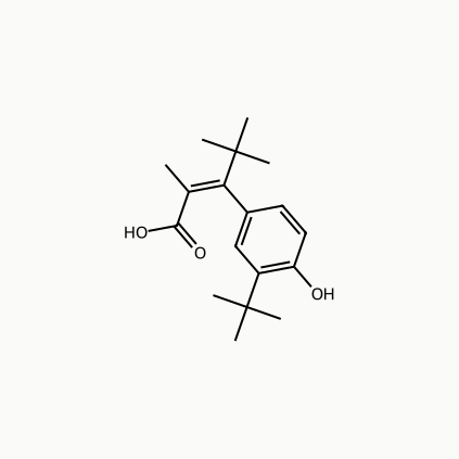 CC(C(=O)O)=C(c1ccc(O)c(C(C)(C)C)c1)C(C)(C)C